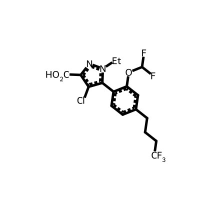 CCn1nc(C(=O)O)c(Cl)c1-c1ccc(CCCC(F)(F)F)cc1OC(F)F